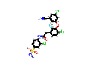 CNS(=O)(=O)c1ccc(NC(=O)Cc2ccc(Cl)c(Oc3cc(Cl)cc(C#N)c3)c2F)c(Cl)c1